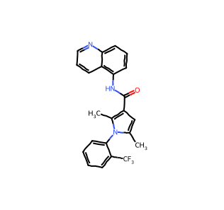 Cc1cc(C(=O)Nc2cccc3ncccc23)c(C)n1-c1ccccc1C(F)(F)F